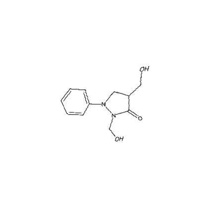 O=C1C(CO)CN(c2ccccc2)N1CO